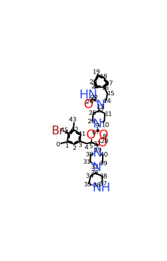 Cc1cc(CC(OC(=O)N2CCC(N3CCc4ccccc4NC3=O)CC2)C(=O)N2CCN(C3CCNCC3)CC2)cc(C)c1Br